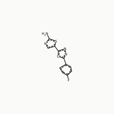 Nc1ncc(-c2nnc(-c3ccc(F)cc3)o2)s1